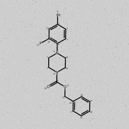 CC(=O)c1ccc(N2CCN(C(=O)OCc3ccccc3)CC2)c(F)c1